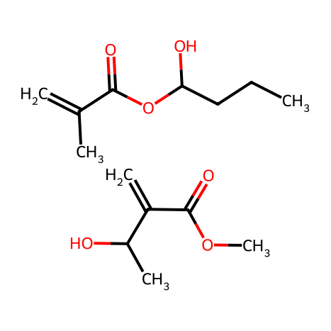 C=C(C(=O)OC)C(C)O.C=C(C)C(=O)OC(O)CCC